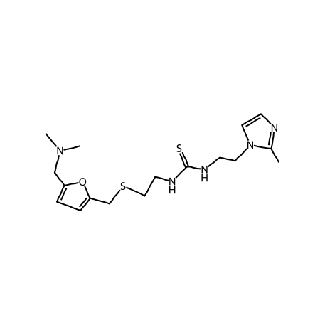 Cc1nccn1CCNC(=S)NCCSCc1ccc(CN(C)C)o1